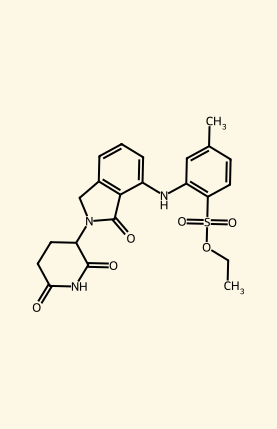 CCOS(=O)(=O)c1ccc(C)cc1Nc1cccc2c1C(=O)N(C1CCC(=O)NC1=O)C2